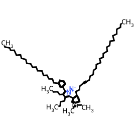 CCCCCCCCCCCCCCCCCCCCCC#CCCCc1ccccc1C1=C(CCCC)C(CCCC)=C(c2cccc(CCCCCCCCCCCCCCCCCCCC)c2)[N+]1=[N-].C[CH2][Ni][CH2]C